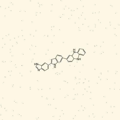 C1=CC2Nc3ccccc3NC2C=C1c1ccc2cc(-c3ccc4nc[nH]c4c3)[nH]c2c1